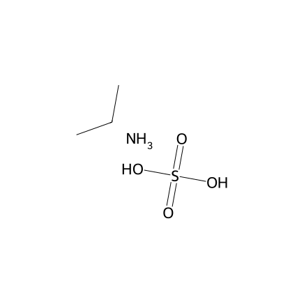 CCC.N.O=S(=O)(O)O